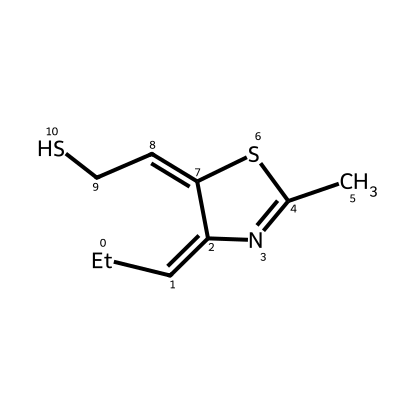 CC/C=c1/nc(C)s/c1=C/CS